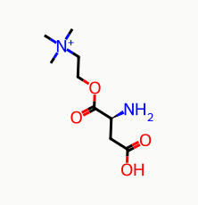 C[N+](C)(C)CCOC(=O)[C@@H](N)CC(=O)O